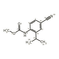 COC(=O)Nc1ccc(C#N)cc1C(C)C